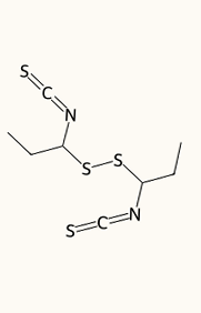 CCC(N=C=S)SSC(CC)N=C=S